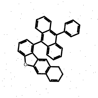 C1=Cc2cc3oc4cccc(-c5c6ccccc6c(-c6ccccc6)c6ccccc56)c4c3cc2CC1